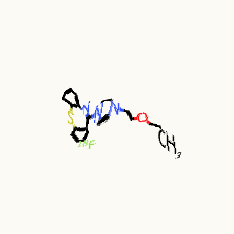 CCCOCCN1CCN(C2=Nc3ccccc3Sc3ccc([18F])cc32)CC1